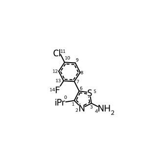 CC(C)c1nc(N)sc1-c1ccc(Cl)cc1F